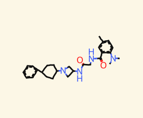 Cc1ccc(N(C)C)c(C(=O)NCC(=O)NC2CN(C3CCC(c4ccccc4)CC3)C2)c1